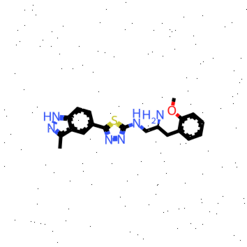 COc1ccccc1C[C@H](N)CNc1nnc(-c2ccc3[nH]nc(C)c3c2)s1